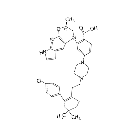 C[C@H]1CN(c2cc(N3CCN(CCC4=C(c5ccc(Cl)cc5)CC(C)(C)CC4)CC3)ccc2C(=O)O)c2cc3cc[nH]c3nc2O1